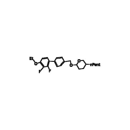 CCCCCC1CCC(OCc2ccc(-c3ccc(OCC)c(F)c3F)cc2)OC1